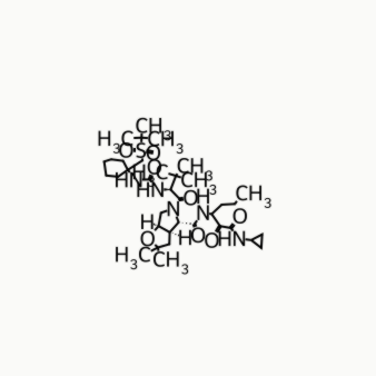 CCCC(NC(=O)[C@@H]1[C@H]2CC(C)(C)O[C@H]2CN1C(=O)[C@@H](NC(=O)NC1(CS(=O)(=O)C(C)(C)C)CCCCC1)C(C)(C)C)C(=O)C(=O)NC1CC1